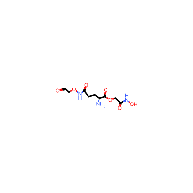 N[C@@H](CCC(=O)NOCC=O)C(=O)OCC(=O)NO